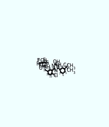 CC(C)(C)c1cccc(-c2nc(O)nc(-c3cc(CNC(=O)C(C)(C(F)(F)F)C(F)(F)F)ccc3Cl)n2)c1